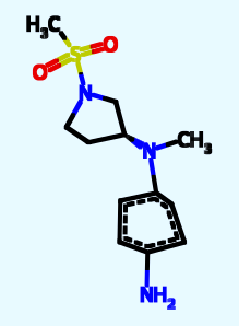 CN(c1ccc(N)cc1)[C@H]1CCN(S(C)(=O)=O)C1